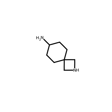 NC1CCC2(CC1)CNC2